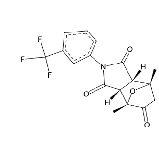 C[C@@]12CC(=O)[C@@](C)(O1)[C@@H]1C(=O)N(c3cccc(C(F)(F)F)c3)C(=O)[C@@H]12